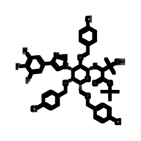 CC(C)(C)OC(=O)C(S[C@@H]1O[C@H](COCc2ccc(Cl)cc2)[C@H](OCc2ccc(Cl)cc2)[C@H](n2cc(-c3cc(F)c(F)c(F)c3)nn2)[C@H]1OCc1ccc(Cl)cc1)C(C)(C)O